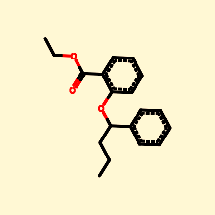 CCCC(Oc1ccccc1C(=O)OCC)c1ccccc1